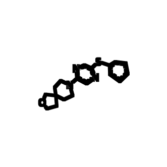 c1ccc(Sc2cnc(N3CCC4(CCOC4)CC3)cn2)cc1